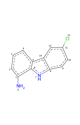 Nc1cccc2c1[nH]c1ccc(Cl)cc12